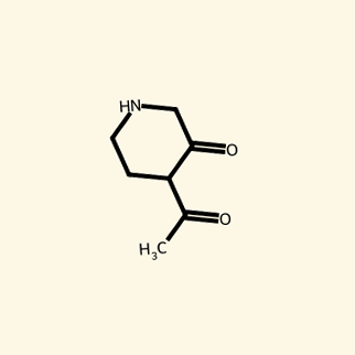 CC(=O)C1CCNCC1=O